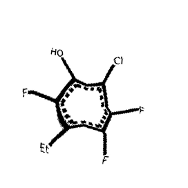 CCc1c(F)c(O)c(Cl)c(F)c1F